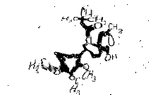 CCCC1(C(=O)O)CCC(c2ccc(OC)c(OC)c2OC)CN1C(=O)CC(C)(C)C